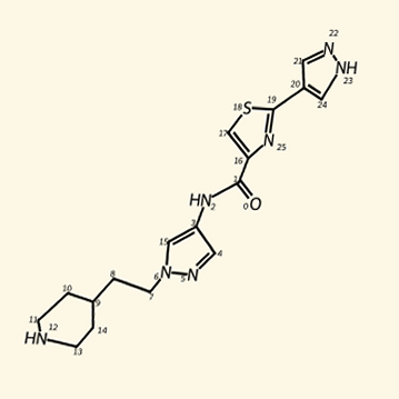 O=C(Nc1cnn(CCC2CCNCC2)c1)c1csc(-c2cn[nH]c2)n1